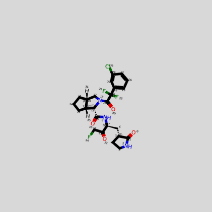 O=C1NCC[C@@H]1C[C@H](NC(=O)[C@@H]1[C@@H]2CCC[C@@H]2CN1C(=O)C(F)(F)c1cccc(Cl)c1)C(=O)CF